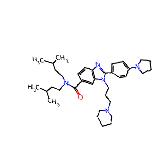 CC(C)CCN(CCC(C)C)C(=O)c1ccc2nc(-c3ccc(N4CCCC4)cc3)n(CCCN3CCCCC3)c2c1